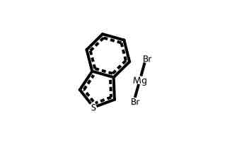 [Br][Mg][Br].c1ccc2cscc2c1